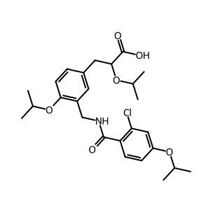 CC(C)Oc1ccc(C(=O)NCc2cc(CC(OC(C)C)C(=O)O)ccc2OC(C)C)c(Cl)c1